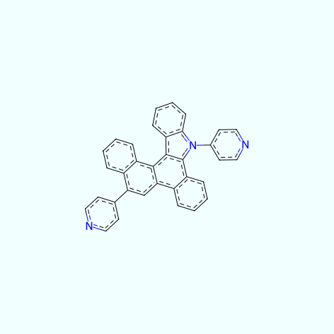 c1ccc2c(c1)c(-c1ccncc1)cc1c3ccccc3c3c(c4ccccc4n3-c3ccncc3)c21